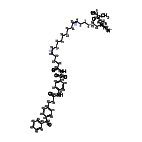 CC(C)(C)[Si](C)(C)O[C@@H](CCC/C=C\CCCCCCC/C=C\CCCC(=O)NS(=O)(=O)c1ccc(NC(=O)CCc2ccc(C(=O)c3ccccc3)cc2)cc1)CN=[N+]=[N-]